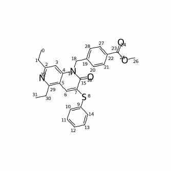 CCc1cc2c(cc(Sc3ccccc3)c(=O)n2Cc2ccc(C(=O)OC)cc2)c(CC)n1